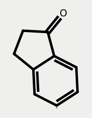 O=C1CCc2c[c]ccc21